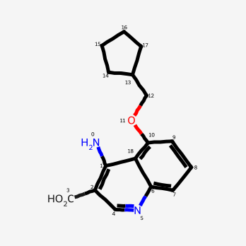 Nc1c(C(=O)O)cnc2cccc(OCC3CCCC3)c12